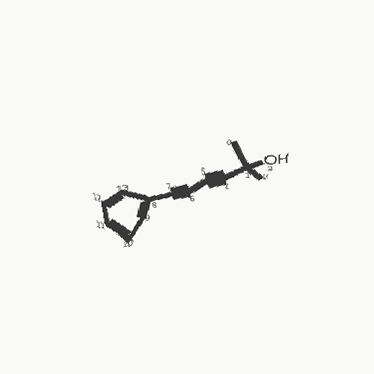 CC(C)(O)C#CC#Cc1ccccc1